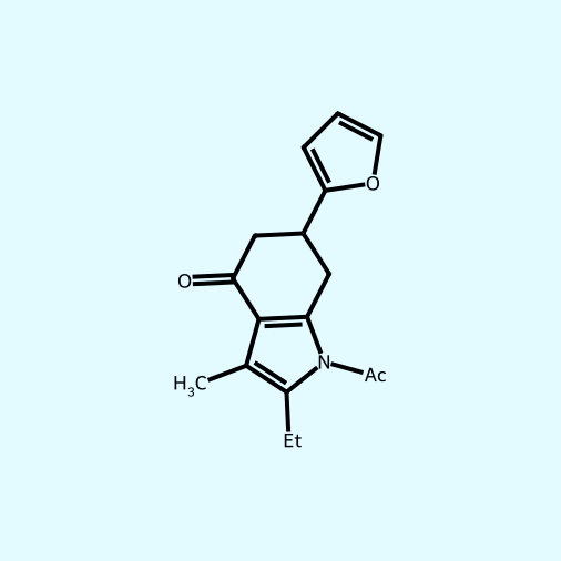 CCc1c(C)c2c(n1C(C)=O)CC(c1ccco1)CC2=O